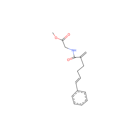 C=C(CCC=Cc1ccccc1)C(=O)NCC(=O)OC